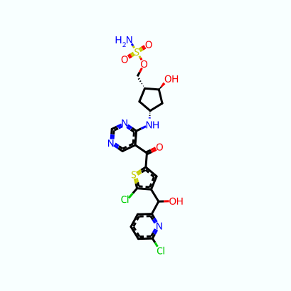 NS(=O)(=O)OC[C@H]1C[C@@H](Nc2ncncc2C(=O)c2cc(C(O)c3cccc(Cl)n3)c(Cl)s2)C[C@@H]1O